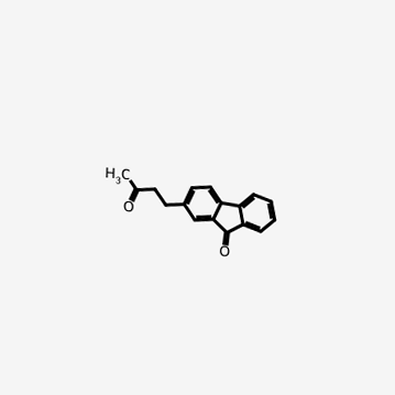 CC(=O)CCc1ccc2c(c1)C(=O)c1ccccc1-2